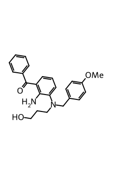 COc1ccc(CN(CCCO)c2cccc(C(=O)c3ccccc3)c2N)cc1